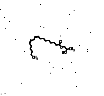 CCCCC/C=C\C/C=C\CCCCCCCC(=O)OCC(C)O